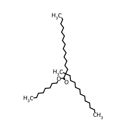 CCCCCCCCCCCCCCC(C)(CCCCCCCCCCCC)C(=O)OCCCCCCCC